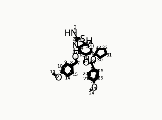 CNC1=N[C@@H]2[C@@H](OCc3ccc(OC)cc3)[C@@H](OCc3ccc(OC)cc3)[C@@H](C3(O)CCCC3)O[C@@H]2S1